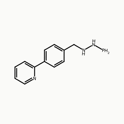 PNNCc1ccc(-c2ccccn2)cc1